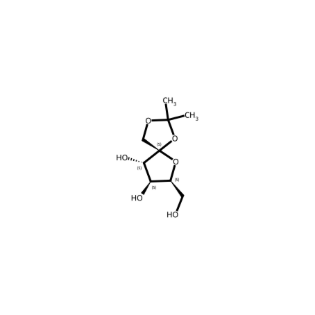 CC1(C)OC[C@]2(O[C@@H](CO)[C@@H](O)[C@@H]2O)O1